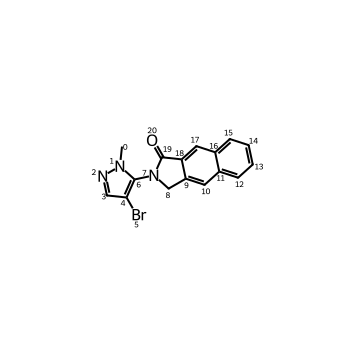 Cn1ncc(Br)c1N1Cc2cc3ccccc3cc2C1=O